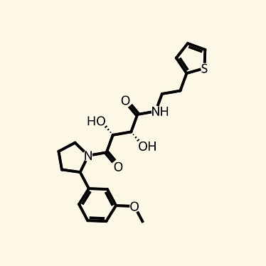 COc1cccc(C2CCCN2C(=O)[C@H](O)[C@@H](O)C(=O)NCCc2cccs2)c1